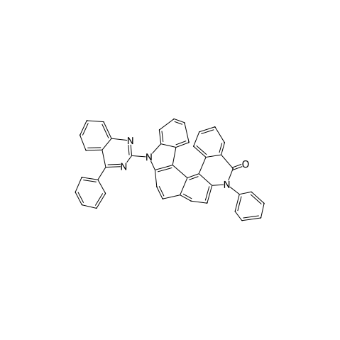 O=c1c2ccccc2c2c3c(ccc2n1-c1ccccc1)ccc1c3c2ccccc2n1-c1nc(-c2ccccc2)c2ccccc2n1